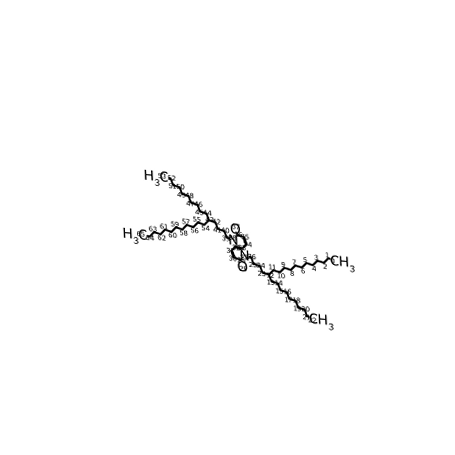 CCCCCCCCCCCCC(CCCCCCCCCC)CCCCn1c(=O)ccc2c1ccc(=O)n2CCCCC(CCCCCCCCCC)CCCCCCCCCCCC